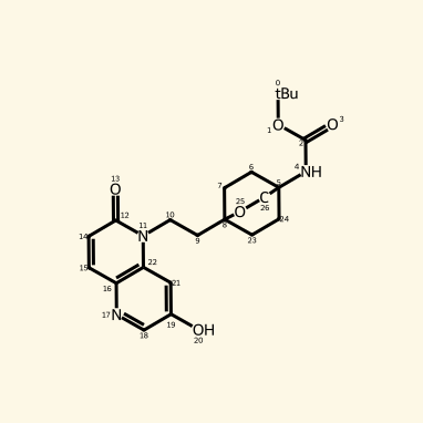 CC(C)(C)OC(=O)NC12CCC(CCn3c(=O)ccc4ncc(O)cc43)(CC1)OC2